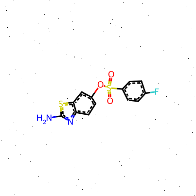 Nc1nc2ccc(OS(=O)(=O)c3ccc(F)cc3)cc2s1